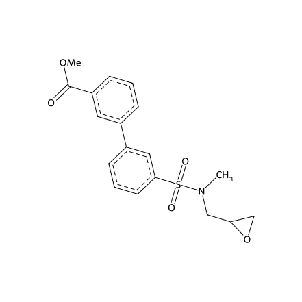 COC(=O)c1cccc(-c2cccc(S(=O)(=O)N(C)CC3CO3)c2)c1